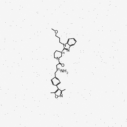 COCCCn1c([C@@H]2CCCN(C(=O)C[C@H](N)Cc3ccc(-c4c(C)noc4C)cc3)C2)nc2ccccc21